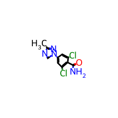 Cc1ncn(-c2cc(Cl)c(C(N)=O)c(Cl)c2)n1